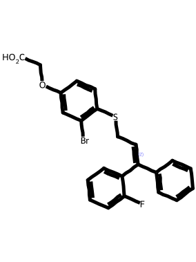 O=C(O)COc1ccc(SC/C=C(/c2ccccc2)c2ccccc2F)c(Br)c1